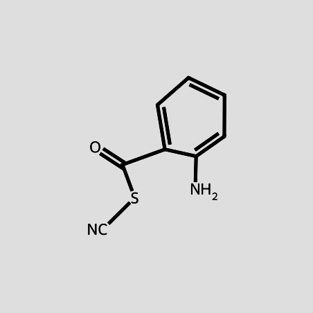 N#CSC(=O)c1ccccc1N